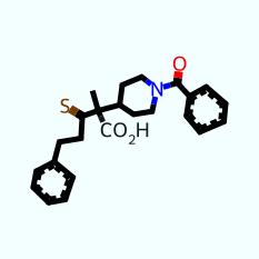 CC(C(=O)O)(C(=S)CCc1ccccc1)C1CCN(C(=O)c2ccccc2)CC1